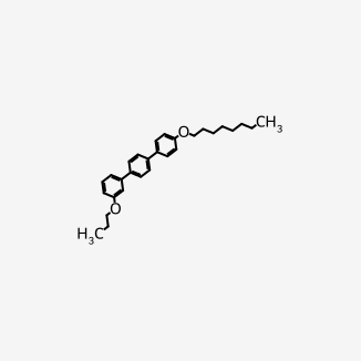 CCCCCCCCOc1ccc(-c2ccc(-c3cccc(OCCC)c3)cc2)cc1